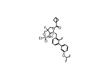 CCS(=O)(=O)N[C@@H]1[C@H](Cc2cccc(-c3cccc(OC(F)F)c3)c2F)N(C(=O)C23CC(C2)C3)CC1(F)F